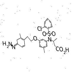 CC1=C(CCOc2cc(C)cc(N(C(C)CC(=O)O)S(=O)(=O)c3ccccc3Cl)c2)C=CC(=NN)C1